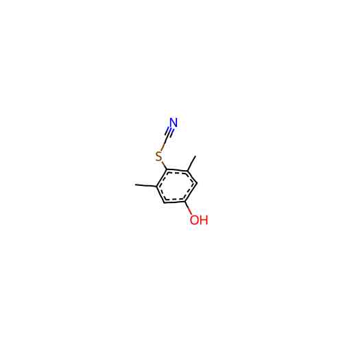 Cc1cc(O)cc(C)c1SC#N